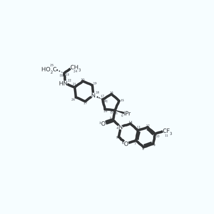 CC(C)[C@]1(C(=O)N2COc3ccc(C(F)(F)F)cc3C2)CC[C@@H](N2CCC(N[C@@H](C)C(=O)O)CC2)C1